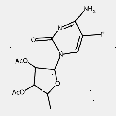 CC(=O)OC1C(C)OC(n2cc(F)c(N)nc2=O)C1OC(C)=O